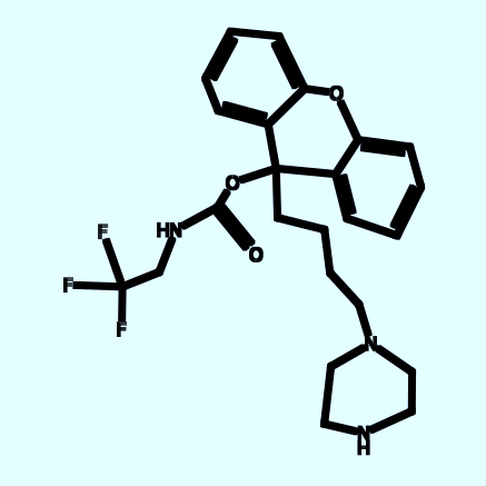 O=C(NCC(F)(F)F)OC1(CCCCN2CCNCC2)c2ccccc2Oc2ccccc21